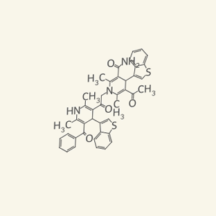 CC(=O)C1=C(C)N(CC(=O)C2=C(C)NC(C)=C(C(=O)c3ccccc3)C2c2csc3ccccc23)C(C)=C(C(N)=O)C1c1csc2ccccc12